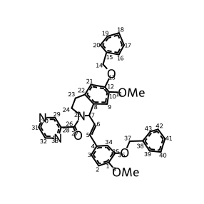 COc1ccc(C=CC2c3cc(OC)c(OCc4ccccc4)cc3CCN2C(=O)c2cnccn2)cc1OCc1ccccc1